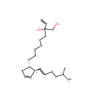 C=CC(O)(CO)CCCCCC[C@H]1CC=C[C@@H]1C=CCCC(C)CCCC